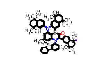 Cc1cc2c3c(c1)N(c1cccc4c1[SiH](C)C1C=CC=CC41)c1c(oc4cc5c(cc14)C(C)(C)CC[C@]5(C)I)B3c1cc3c(cc1N2c1ccc2c(c1)C(C)(C)CCC2(C)C)C(C)(C)CCC3(C)C